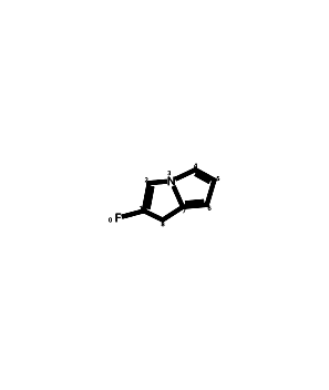 FC1=Cn2cccc2C1